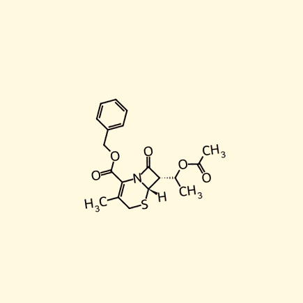 CC(=O)OC(C)[C@H]1C(=O)N2C(C(=O)OCc3ccccc3)=C(C)CS[C@@H]12